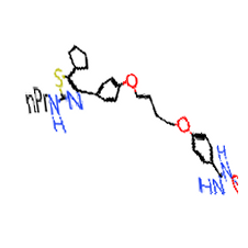 CCCNc1nc(-c2ccc(OCCCCCOc3ccc(C(=N)NO)cc3)cc2)c(C2CCCC2)s1